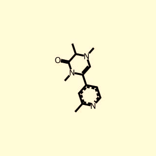 Cc1cc(C2=CN(C)C(C)C(=O)N2C)ccn1